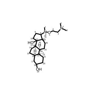 CN(C)CCON(C)C1CC[C@@]2(O)[C@@H]3CCC4CC(O)CC[C@]4(C)[C@@H]3CC[C@]12C